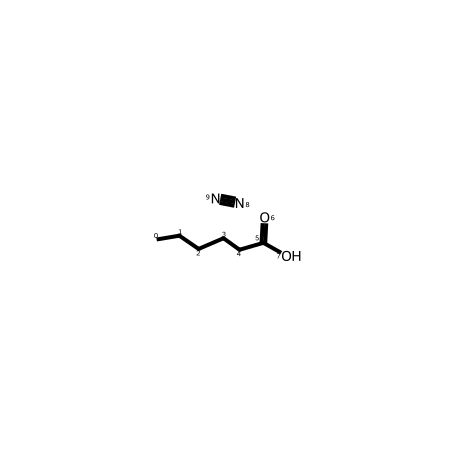 CCCCCC(=O)O.N#N